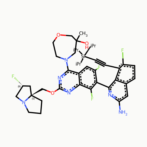 CC(C)[Si](C#Cc1c(F)ccc2cc(N)nc(-c3c(F)cc4c(N5CCOCC(C)(O)C5)nc(OC[C@@]56CCCN5C[C@H](F)C6)nc4c3F)c12)(C(C)C)C(C)C